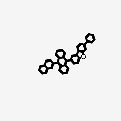 c1ccc(-c2ccc3c(c2)oc2ccc(-c4c5ccccc5c(-c5ccc6ccccc6c5)c5ccccc45)cc23)cc1